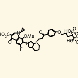 COc1c(N2CC3CCCN(CCC(=O)c4ccc(OCCCC(P(=O)(O)O)P(=O)(O)O)cc4)C3C2)c(F)cc2c(=O)c(C(=O)O)cn(C3CC3)c12